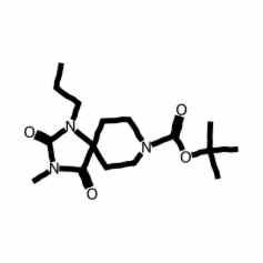 CCCN1C(=O)N(C)C(=O)C12CCN(C(=O)OC(C)(C)C)CC2